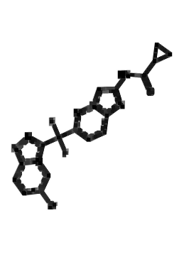 O=C(Nc1cn2nc(C(F)(F)c3nnc4ccc(Br)cn34)ccc2n1)C1CC1